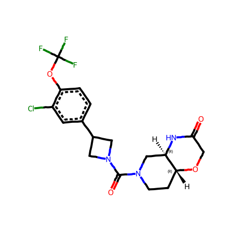 O=C1CO[C@@H]2CCN(C(=O)N3CC(c4ccc(OC(F)(F)F)c(Cl)c4)C3)C[C@H]2N1